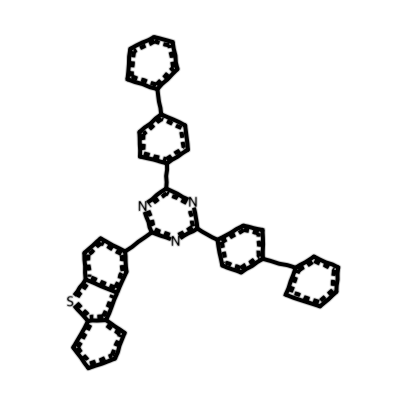 c1ccc(-c2ccc(-c3nc(-c4ccc(-c5ccccc5)cc4)nc(-c4ccc5sc6ccccc6c5c4)n3)cc2)cc1